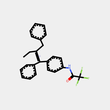 CC/C(Cc1ccccc1)=C(\c1ccccc1)c1ccc(NC(=O)C(F)(F)F)cc1